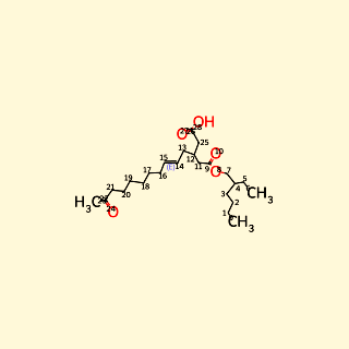 CCCCC(CC)COC(=O)CC(C/C=C/CCCCCCC(C)=O)CC(=O)O